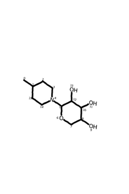 CC1CCN(C2OCC(O)C(O)C2O)CC1